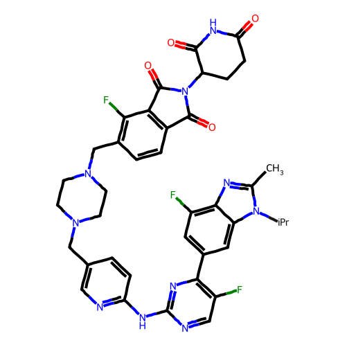 Cc1nc2c(F)cc(-c3nc(Nc4ccc(CN5CCN(Cc6ccc7c(c6F)C(=O)N(C6CCC(=O)NC6=O)C7=O)CC5)cn4)ncc3F)cc2n1C(C)C